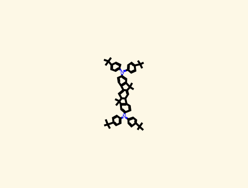 CC(C)(C)c1ccc(N(c2ccc(C(C)(C)C)cc2)c2ccc3c(c2)C(C)(C)C2=CC4c5ccc(N(c6ccc(C(C)(C)C)cc6)c6ccc(C(C)(C)C)cc6)cc5C(C)(C)C4C=C23)cc1